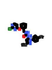 CC(C)c1ccc(-n2nc(C(C)(C)C)cc2NC(=O)NCc2ccccc2Oc2ccnc(Cl)n2)cc1